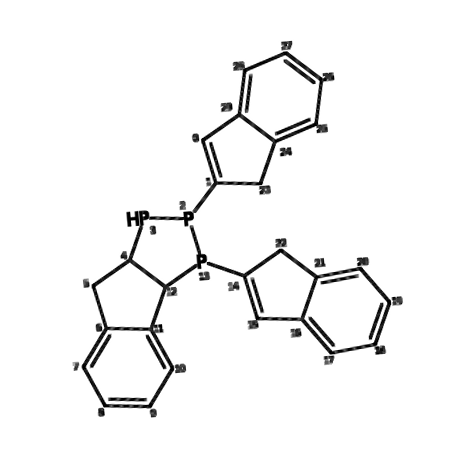 C1=C(P2PC3Cc4ccccc4C3P2C2=Cc3ccccc3C2)Cc2ccccc21